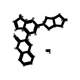 Cl.O=c1oc2ccccc2cc1-c1nc(N2CC3CNCC3C2)nc2[nH]cnc12